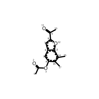 CC(=O)Oc1cc2cc(C(C)=O)oc2c(C)c1C